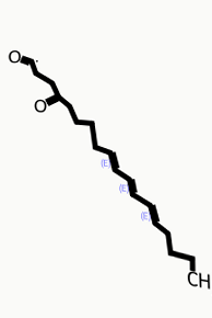 CCCC/C=C/C=C/C=C/CCCCC(=O)CC[C]=O